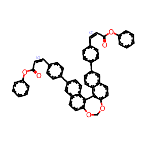 O=C(/C=C\c1ccc(-c2ccc3c4c(ccc3c2)OCOc2ccc3cc(-c5ccc(/C=C\C(=O)Oc6ccccc6)cc5)ccc3c2-4)cc1)Oc1ccccc1